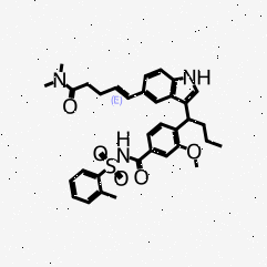 CCCC(c1ccc(C(=O)NS(=O)(=O)c2ccccc2C)cc1OC)c1c[nH]c2ccc(/C=C/CCC(=O)N(C)C)cc12